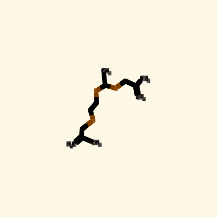 C=C(C)CSCCSC(C)SCC(=C)C